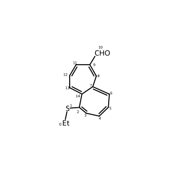 CCSC1=CC=CC=C2C=C(C=O)C=CC=C21